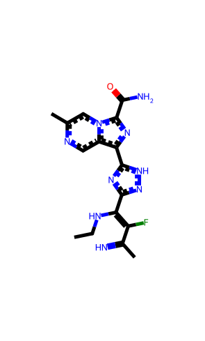 CCN/C(=C(/F)C(C)=N)c1n[nH]c(-c2nc(C(N)=O)n3cc(C)ncc23)n1